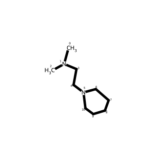 CN(C)CCN1CC[CH]CC1